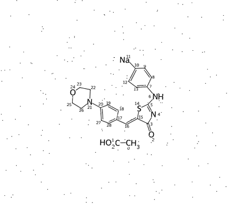 CC(=O)O.O=C1N=C(Nc2cc[c]([Na])cc2)S/C1=C\c1ccc(N2CCOCC2)cc1